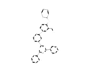 N=Cc1cc(-c2cccc(-c3nc(-c4ccccc4)nc(-c4ccccc4)n3)c2)ccc1NC1C=CC=CC1